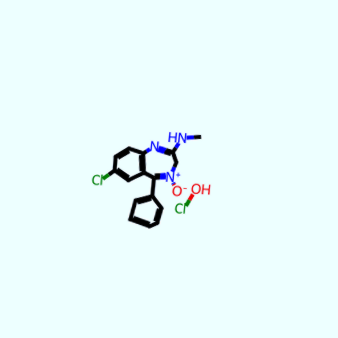 CNC1=Nc2ccc(Cl)cc2C(c2ccccc2)=[N+]([O-])C1.OCl